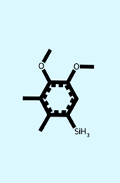 COc1cc([SiH3])c(C)c(C)c1OC